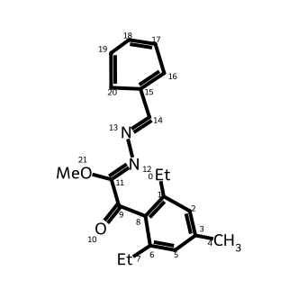 CCc1cc(C)cc(CC)c1C(=O)C(=NN=Cc1ccccc1)OC